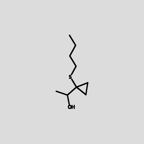 CCCCSC1(C(C)O)CC1